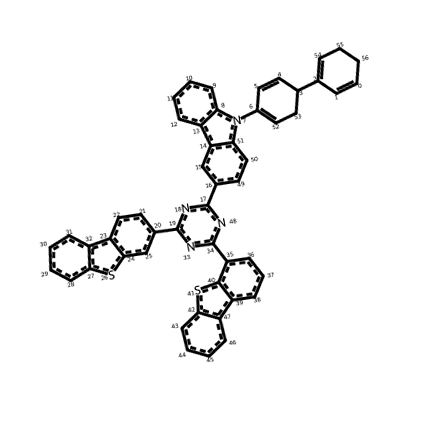 C1=CC(C2C=CC(n3c4ccccc4c4cc(-c5nc(-c6ccc7c(c6)sc6ccccc67)nc(-c6cccc7c6sc6ccccc67)n5)ccc43)=CC2)=CCC1